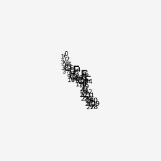 CCCCC1CCC(c2ccc3c(c2F)-c2c-3cc(CCC3CCC(C4CCCCC4)CC3)c(F)c2F)CC1